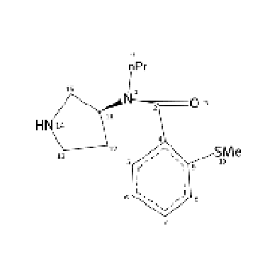 CCCN(C(=O)c1ccccc1SC)[C@H]1CCNC1